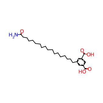 NC(=O)CCCCCCCCCCCCCCCCCc1cc(C(=O)O)cc(C(=O)O)c1